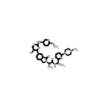 COc1ccc(Nc2ncc(Cl)c(-c3ccc4c(c3)C(=O)N([C@H](C)C(=O)N[C@H](C)c3cccc(N5CCN(C)CC5)n3)C4)n2)cn1